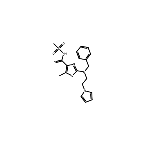 Cc1sc(N(CCn2cccc2)Cc2ccccc2)nc1C(=O)NS(C)(=O)=O